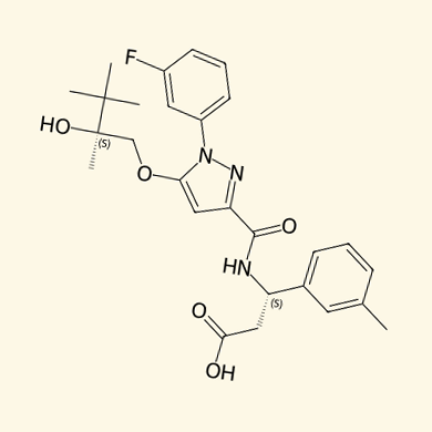 Cc1cccc([C@H](CC(=O)O)NC(=O)c2cc(OC[C@@](C)(O)C(C)(C)C)n(-c3cccc(F)c3)n2)c1